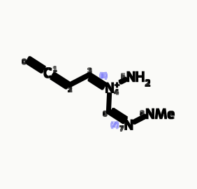 C=C=C/C=[N+](N)\C=N/NC